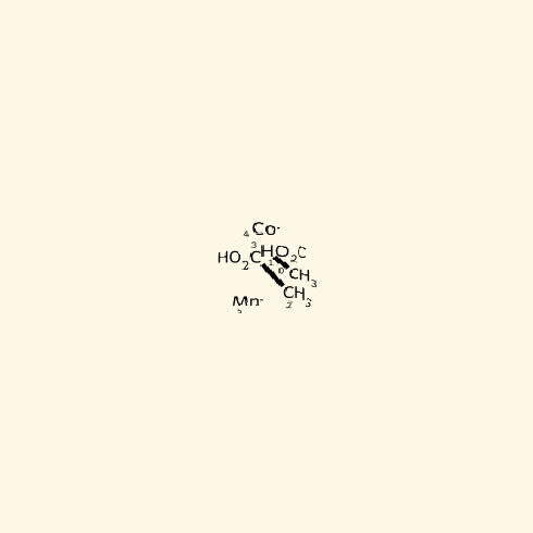 CC(=O)O.CC(=O)O.[Co].[Mn]